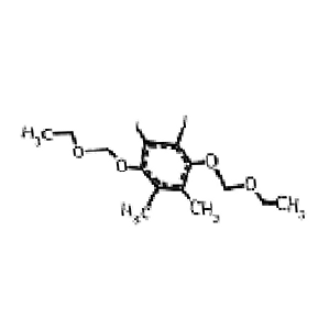 CCOCOc1c(C)c(C)c(OCOCC)c(I)c1I